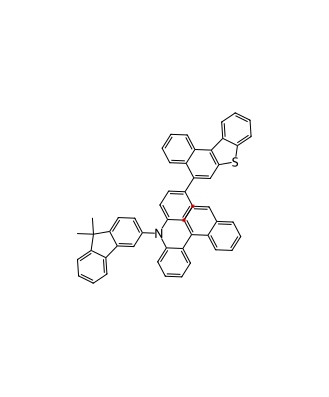 CC1(C)c2ccccc2-c2cc(N(c3ccc(-c4cc5sc6ccccc6c5c5ccccc45)cc3)c3ccccc3-c3cccc4ccccc34)ccc21